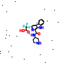 O=C(NC1CCNCC1)c1nccc2c1[nH]c1ccccc12.O=C(O)C(F)(F)F